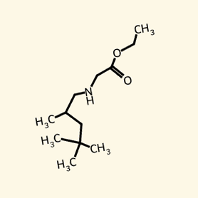 CCOC(=O)CNCC(C)CC(C)(C)C